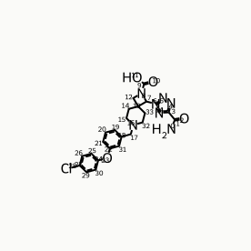 NC(=O)c1nnn(C2N(C(=O)O)CC23CCN(Cc2cccc(Oc4ccc(Cl)cc4)c2)CC3)n1